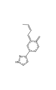 C=c1ccc(-c2cc[nH]n2)c/c1=C/C=C\C